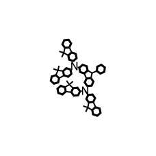 CC1(C)c2ccccc2-c2ccc(N(c3ccc4c(c3)-c3cc(N(c5ccc6c(c5)C(C)(C)c5ccccc5-6)c5ccc6c(c5)C(C)(C)c5ccccc5-6)ccc3C4c3ccccc3)c3ccc4c(c3)C(C)(C)c3ccccc3-4)cc21